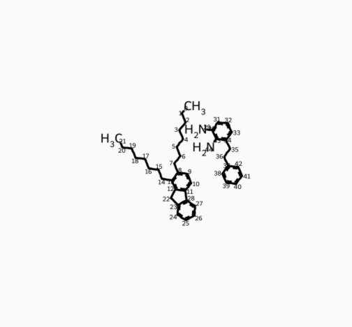 CCCCCCCCc1ccc2c(c1CCCCCCCC)Cc1ccccc1-2.Nc1cccc(CCc2ccccc2)c1N